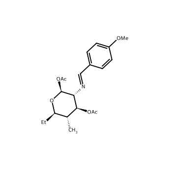 CC[C@H]1O[C@@H](OC(C)=O)[C@H](/N=C/c2ccc(OC)cc2)[C@@H](OC(C)=O)[C@@H]1C